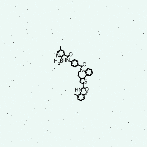 Bc1ncc(C)cc1C(=O)Nc1ccc(C(=O)N2CCc3cc(C(=O)Nc4c(C)cccc4F)sc3-c3ccccc32)cc1